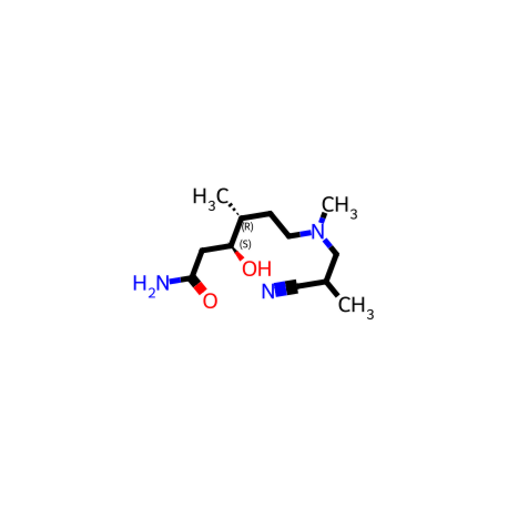 CC(C#N)CN(C)CC[C@@H](C)[C@@H](O)CC(N)=O